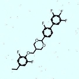 CCc1cc(F)c(OCC2COC(c3ccc(-c4cc(F)c(F)c(F)c4)c(F)c3)OC2)c(F)c1